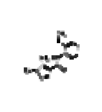 CCc1ccccc1NC(=O)c1cnn(C)c1N